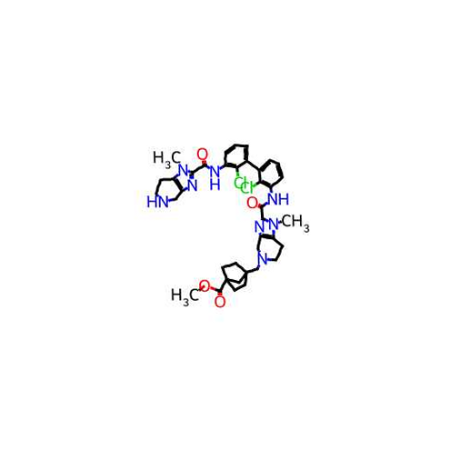 COC(=O)C12CCC(CN3CCc4c(nc(C(=O)Nc5cccc(-c6cccc(NC(=O)c7nc8c(n7C)CCNC8)c6Cl)c5Cl)n4C)C3)(CC1)C2